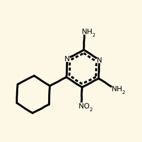 Nc1nc(N)c([N+](=O)[O-])c(C2CCCCC2)n1